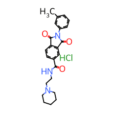 Cc1cccc(N2C(=O)c3ccc(C(=O)NCCN4CCCCC4)cc3C2=O)c1.Cl